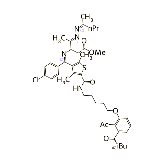 CCC/C(C)=N\N=C(/C)C(CC(=O)OC)/N=C(/c1ccc(Cl)cc1)c1c(C)sc(C(=O)NCCCCCOc2cccc(C(=O)[C@H](C)CC)c2C(C)=O)c1C